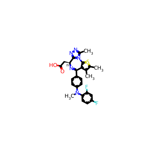 Cc1sc2c(c1C)C(c1ccc(N(C)c3ccc(F)cc3F)cc1)=N[C@@H](CC(=O)O)c1nnc(C)n1-2